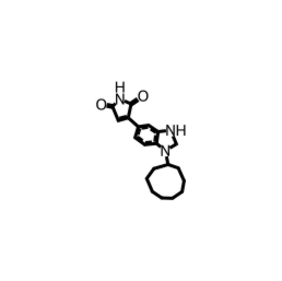 O=C1C=C(c2ccc3c(c2)NCN3C2CCCCCCCC2)C(=O)N1